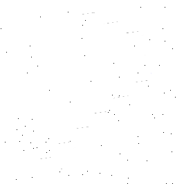 CCCCC/C=C\C/C=C\CCCCCCCC(=O)OC(O)O